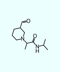 CC(C)NC(=O)C(C)N1CCCC(C=O)C1